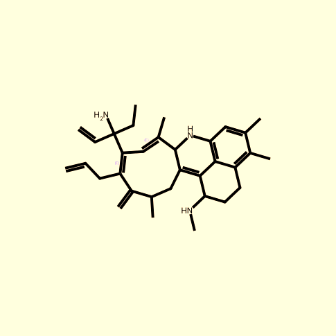 C=CC/C1=C(C(N)(C=C)CC)/C=C(\C)C2Nc3cc(C)c(C)c4c3C(=C2CC(C)C1=C)C(NC)CC4